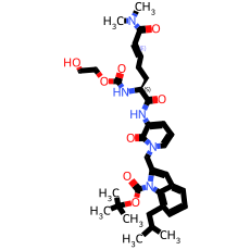 CC(C)Cc1cccc2cc(Cn3cccc(NC(=O)[C@H](CC/C=C/C(=O)N(C)C)NC(=O)OCCO)c3=O)n(C(=O)OC(C)(C)C)c12